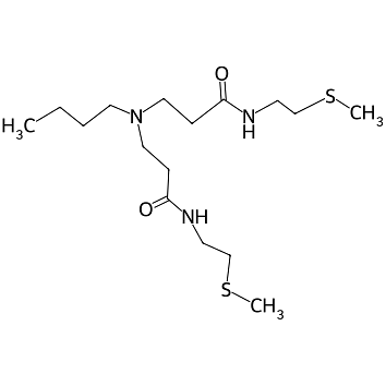 CCCCN(CCC(=O)NCCSC)CCC(=O)NCCSC